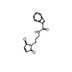 O=C(NCCCN1C(=O)C=CC1=O)C1=Cc2ccccc21